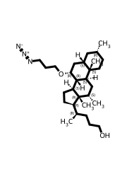 C[C@@H]1CC[C@@]2(C)[C@@H](C1)C[C@@H](OCCCN=[N+]=[N-])[C@@H]1[C@@H]2C[C@H](C)[C@]2(C)[C@@H]([C@H](C)CCCO)CC[C@@H]12